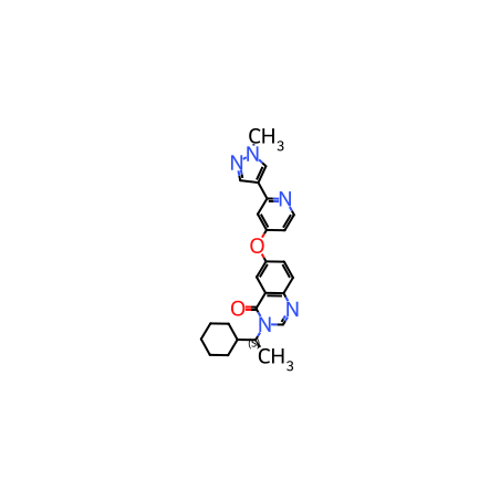 C[C@@H](C1CCCCC1)n1cnc2ccc(Oc3ccnc(-c4cnn(C)c4)c3)cc2c1=O